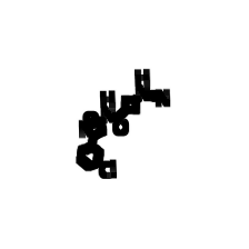 N#CNC1CC(C(=O)Nc2cc(-c3cccc(Cl)c3)no2)C1